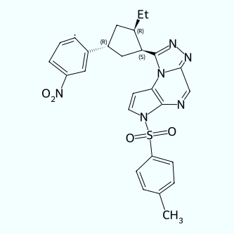 CC[C@@H]1C[C@@H](c2[c]ccc([N+](=O)[O-])c2)C[C@@H]1c1nnc2cnc3c(ccn3S(=O)(=O)c3ccc(C)cc3)n12